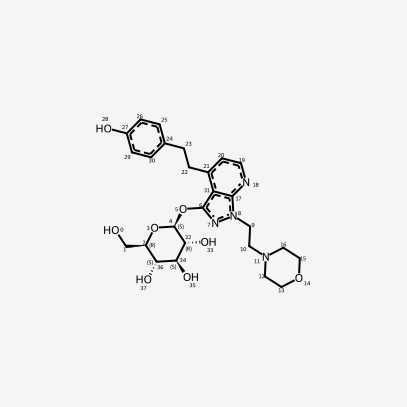 OC[C@H]1O[C@@H](Oc2nn(CCN3CCOCC3)c3nccc(CCc4ccc(O)cc4)c23)[C@H](O)[C@@H](O)[C@@H]1O